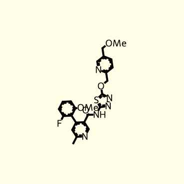 COCc1ccc(COc2nnc(NC(=O)c3cnc(C)cc3-c3c(F)cccc3OC)s2)nc1